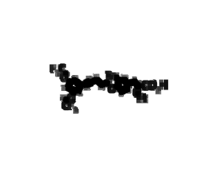 CCO[C@@H](Cc1ccc(OCC=CC#Cc2cc(OCC(F)(F)F)cc(OCC(F)(F)F)c2)c(Br)c1)C(=O)O